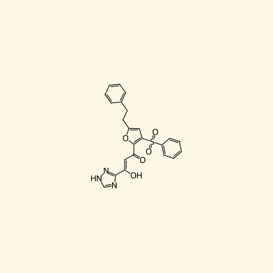 O=C(C=C(O)c1nc[nH]n1)c1oc(CCc2ccccc2)cc1S(=O)(=O)c1ccccc1